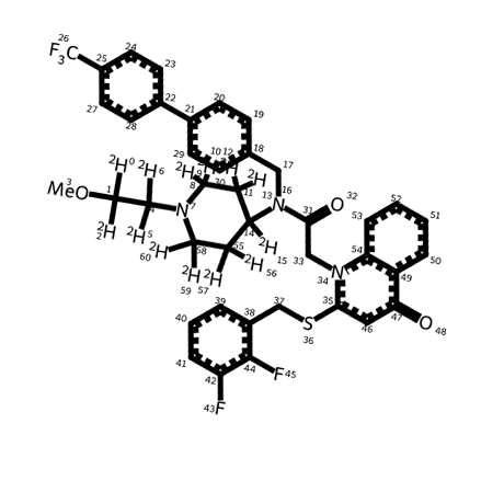 [2H]C([2H])(OC)C([2H])([2H])N1C([2H])([2H])C([2H])([2H])C([2H])(N(Cc2ccc(-c3ccc(C(F)(F)F)cc3)cc2)C(=O)Cn2c(SCc3cccc(F)c3F)cc(=O)c3ccccc32)C([2H])([2H])C1([2H])[2H]